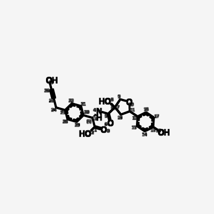 O=C(O)[C@@H](NC(=O)[C@]1(O)COC(c2ccc(O)cc2)C1)c1ccc(CC#CO)cc1